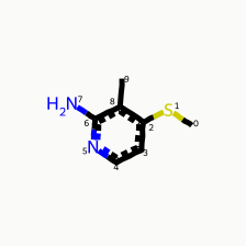 CSc1ccnc(N)c1C